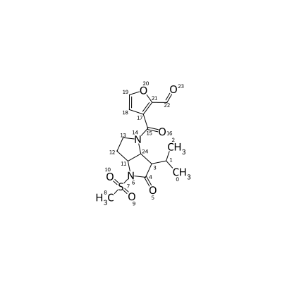 CC(C)C1C(=O)N(S(C)(=O)=O)C2CCN(C(=O)c3ccoc3C=O)C12